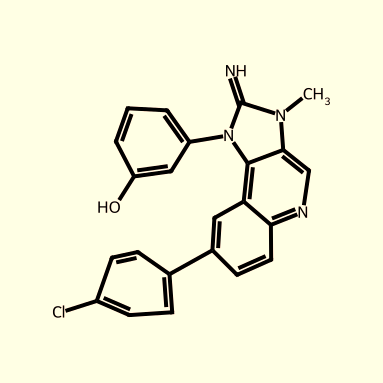 Cn1c(=N)n(-c2cccc(O)c2)c2c3cc(-c4ccc(Cl)cc4)ccc3ncc21